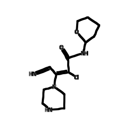 N=C/C(=C(/Cl)C(=O)NC1CCCCO1)N1CCNCC1